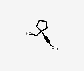 CC#CC1(CO)CCCC1